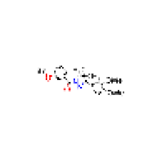 COc1ccc(C2=NN(C(=O)c3cccc(OC(C)C)c3)CC2(C)C)cc1OC